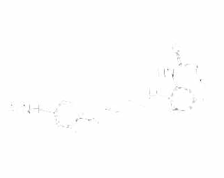 CC(=O)Nc1ccc(SCCCCOc2cccc3c2NC(=O)OC3(C)C)cc1